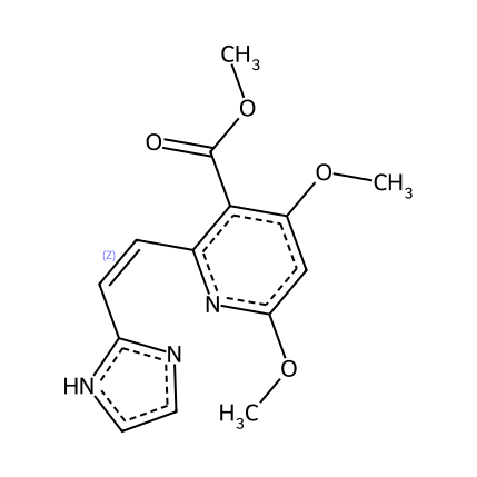 COC(=O)c1c(OC)cc(OC)nc1/C=C\c1ncc[nH]1